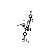 COCc1ccc(CNC(=O)CC2CCN(CC(=O)c3ccc(F)cc3)CC2)cc1.O=C(O)C(F)(F)F